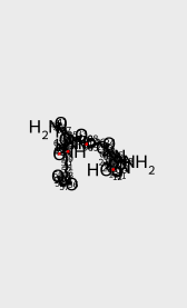 CCN(Cc1nc2c(N)nc3ccccc3c2n1CC(C)(C)O)C(=O)OCc1ccc(NC(=O)C(CCCNC(N)=O)NC(=O)C(NC(=O)CCCCCN2C(=O)C=CC2=O)C(C)C)cc1